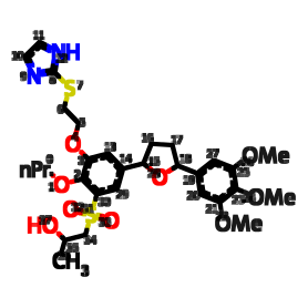 CCCOc1c(OCCSc2ncc[nH]2)cc(C2CCC(c3cc(OC)c(OC)c(OC)c3)O2)cc1S(=O)(=O)CC(C)O